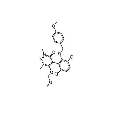 COCOc1c(C)nn(C)c(=O)c1-c1c(Cl)ccc(Cl)c1OCc1ccc(OC)cc1